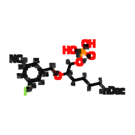 CCCCCCCCCCCCCCC(COP(=O)(O)O)OCc1cc(F)cc(C#N)c1